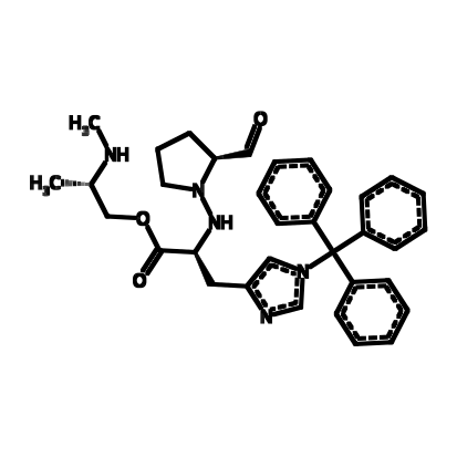 CN[C@@H](C)COC(=O)[C@H](Cc1cn(C(c2ccccc2)(c2ccccc2)c2ccccc2)cn1)NN1CCC[C@H]1C=O